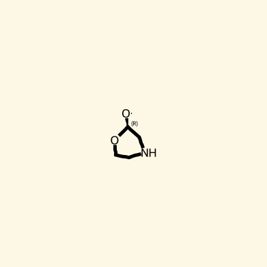 [O][C@H]1CNCCO1